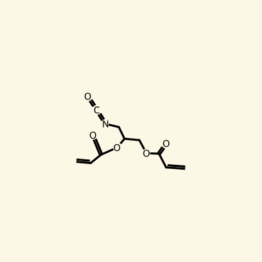 C=CC(=O)OCC(CN=C=O)OC(=O)C=C